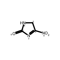 O=C1N=C([N+](=O)[O-])[C]N1